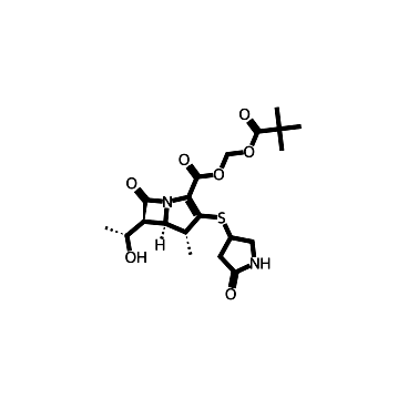 C[C@@H](O)[C@H]1C(=O)N2C(C(=O)OCOC(=O)C(C)(C)C)=C(SC3CNC(=O)C3)[C@H](C)[C@@H]12